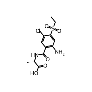 CCS(=O)(=O)c1cc(N)c(C(=O)N[C@@H](C)C(=O)O)cc1Cl